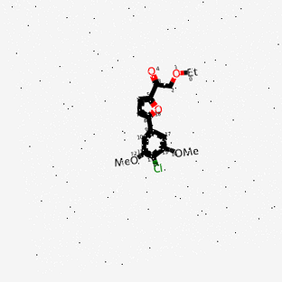 CCOCC(=O)c1ccc(-c2cc(OC)c(Cl)c(OC)c2)o1